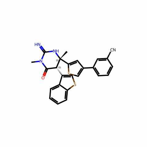 CN1C(=N)N[C@](C)(c2cc(-c3cccc(C#N)c3)cs2)[C@H](c2csc3ccccc23)C1=O